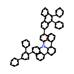 c1ccc(-c2ccc(-c3ccc(N(c4ccc(-c5ccc6c(c5)c(-c5ccccc5)c(-c5ccccc5)c5ccccc56)cc4)c4c(-c5ccccc5)cccc4-c4ccccc4)cc3)c(-c3ccccc3)c2)cc1